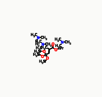 CCCOC(=O)C(C)=C[Si](O[SiH3])(O[SiH3])O[SiH3].CN(C)C.CN(C)C.CN(C)C